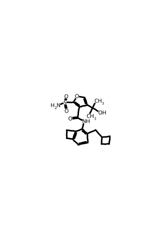 CC(C)(O)c1coc(S(N)(=O)=O)c1C(=O)Nc1c(CC2CCC2)ccc2c1CC2